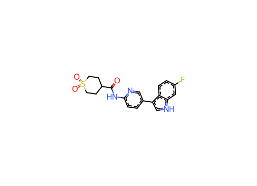 O=C(Nc1ccc(-c2c[nH]c3cc(F)ccc23)cn1)C1CCS(=O)(=O)CC1